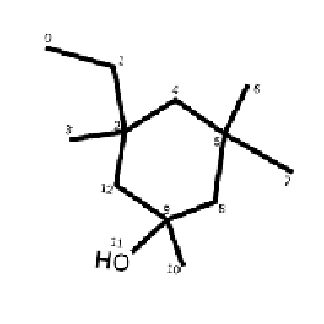 CCC1(C)CC(C)(C)CC(C)(O)C1